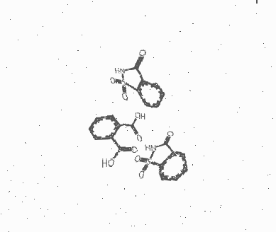 O=C(O)c1ccccc1C(=O)O.O=C1NS(=O)(=O)c2ccccc21.O=C1NS(=O)(=O)c2ccccc21